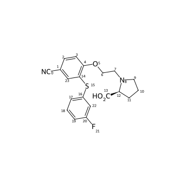 N#Cc1ccc(OCCN2CCC[C@H]2C(=O)O)c(Sc2cccc(F)c2)c1